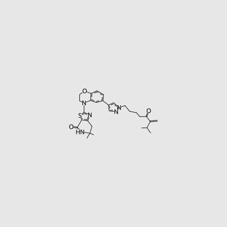 C=C(C(=O)CCCCn1cc(-c2ccc3c(c2)N(c2nc4c(s2)C(=O)NC(C)(C)C4)CCO3)cn1)C(C)C